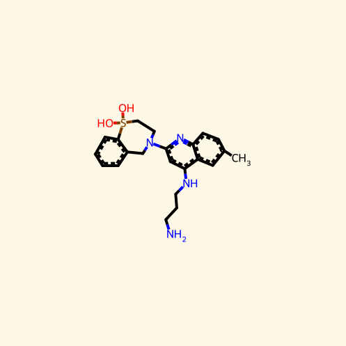 Cc1ccc2nc(N3CCS(O)(O)c4ccccc4C3)cc(NCCCN)c2c1